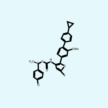 COc1cc(-c2sc(F)cc2NC(=O)O[C@H](C)c2ccc(Cl)cc2)ccc1-c1ccc(C2CC2)cc1